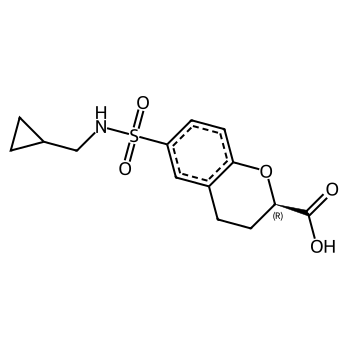 O=C(O)[C@H]1CCc2cc(S(=O)(=O)NCC3CC3)ccc2O1